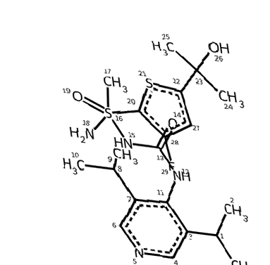 CC(C)c1cncc(C(C)C)c1NC(=O)NS(C)(N)(=O)c1sc(C(C)(C)O)cc1F